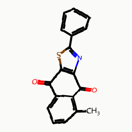 Cc1cccc2c1C(=O)c1nc(-c3ccccc3)sc1C2=O